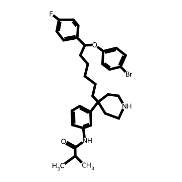 CC(C)C(=O)Nc1cccc(C2(CCCCCC(Oc3ccc(Br)cc3)c3ccc(F)cc3)CCNCC2)c1